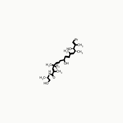 CC(/C=C/C(O)C/C=C/C(C)(C)/C=C(\C)C(=O)N[C@@H](C)CO)=C\[C@@H](C)[C@@H](O)/C(C)=C/C(C)C